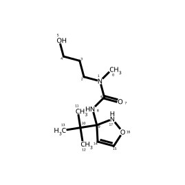 CN(CCCO)C(=O)NC1(C(C)(C)C)C=CON1